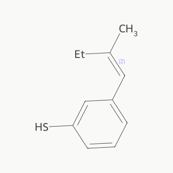 CC/C(C)=C\c1cccc(S)c1